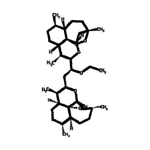 CCO[C@@H](C[C@H]1O[C@@H]2C[C@]3(C)CC[C@H]4[C@H](C)CC[C@@H]([C@H]1C)[C@@]24OO3)C1O[C@@H]2C[C@]3(C)CC[C@H]4[C@H](C)CC[C@@H]([C@H]1C)[C@@]24OO3